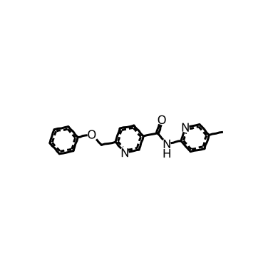 Cc1ccc(NC(=O)c2ccc(COc3ccccc3)nc2)nc1